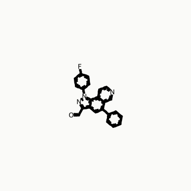 O=Cc1nn(-c2ccc(F)cc2)c2c1cc(-c1ccccc1)c1cnccc12